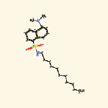 CN(C)c1cccc2c(S(=O)(=O)NCCCCCCCCCCC(=O)O)cccc12